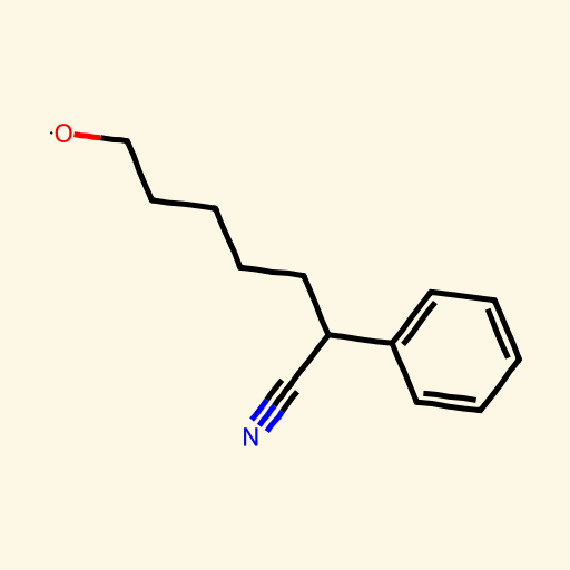 N#CC(CCCCC[O])c1ccccc1